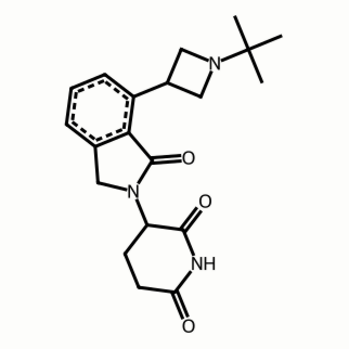 CC(C)(C)N1CC(c2cccc3c2C(=O)N(C2CCC(=O)NC2=O)C3)C1